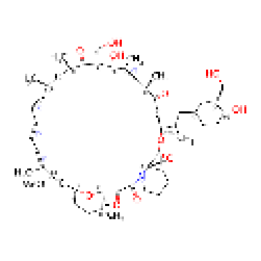 CO[C@H]1C[C@@H]2CC[C@@H](C)[C@@H](O2)C(=O)C(=O)N2CCCC[C@H]2C(=O)O[C@H]([C@H](C)C[C@@H]2CC[C@@H](O)[C@H](CO)C2)CC(=O)[C@H](C)/C=C(\C)[C@@H](O)[C@@H](CO)C(=O)[C@H](C)C[C@H](C)/C=C/C=C/C=C/1C